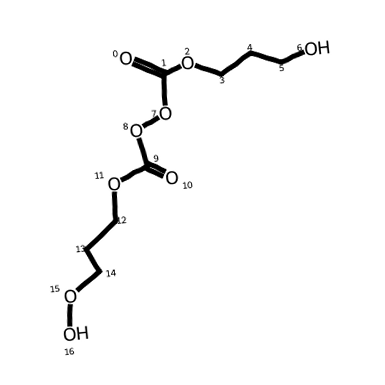 O=C(OCCCO)OOC(=O)OCCCOO